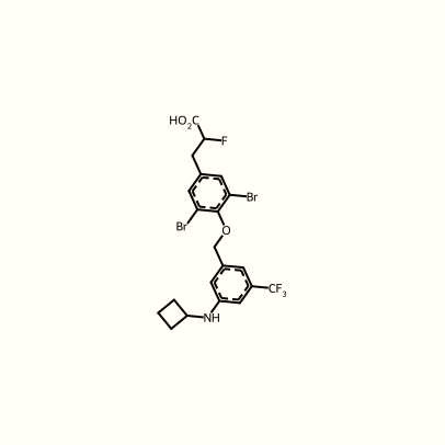 O=C(O)C(F)Cc1cc(Br)c(OCc2cc(NC3CCC3)cc(C(F)(F)F)c2)c(Br)c1